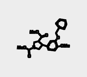 COC(=O)C1CN(C(=O)OC)CC1c1ccc(OC)c(OCc2ccccc2)c1